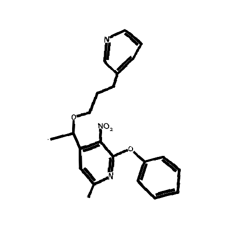 [CH2]C(OCCCc1cccnc1)c1cc(C)nc(Oc2ccccc2)c1[N+](=O)[O-]